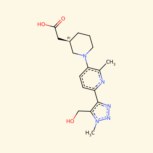 Cc1nc(-c2nnn(C)c2CO)ccc1N1CCC[C@H](CC(=O)O)C1